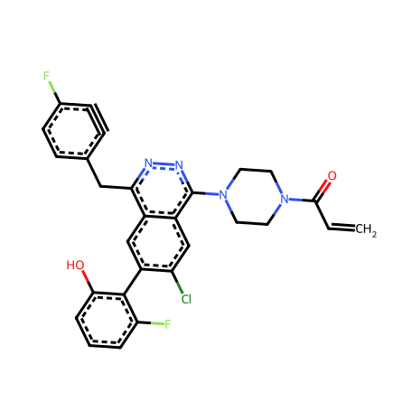 C=CC(=O)N1CCN(c2nnc(Cc3c#cc(F)cc3)c3cc(-c4c(O)cccc4F)c(Cl)cc23)CC1